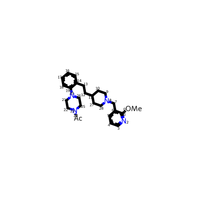 COc1ncccc1CN1CCC(CCc2ccccc2N2CCN(C(C)=O)CC2)CC1